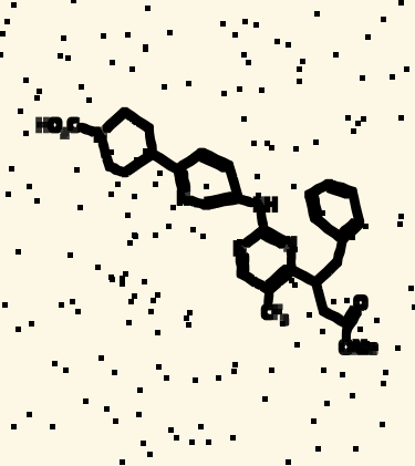 COC(=O)CC(Cc1ccccc1)c1nc(Nc2ccc(C3CCN(C(=O)O)CC3)nc2)ncc1C(F)(F)F